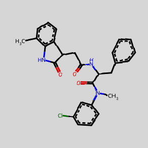 Cc1cccc2c1NC(=O)C2CC(=O)NC(Cc1ccccc1)C(=O)N(C)c1cccc(Cl)c1